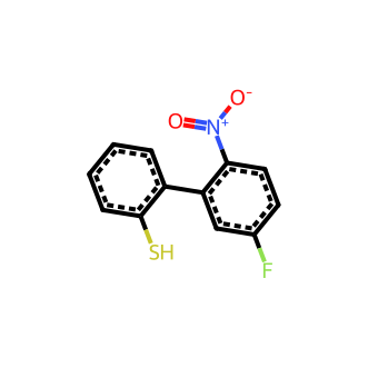 O=[N+]([O-])c1ccc(F)cc1-c1ccccc1S